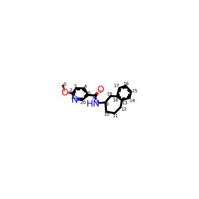 COc1ccc(C(=O)NC2CCCc3ccccc3C2)cn1